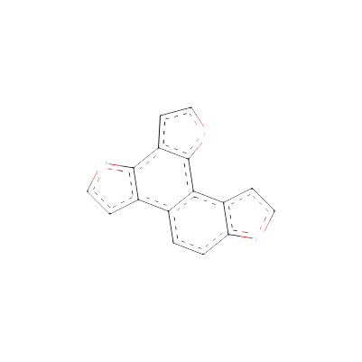 c1cc2c(ccc3c4ccoc4c4ccoc4c23)o1